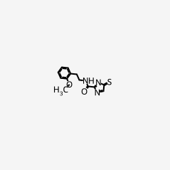 COc1ccccc1CCNC(=O)C1=NC(=S)C=N1